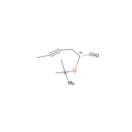 CC#CC[C@H](C=O)O[Si](C)(C)C(C)(C)C